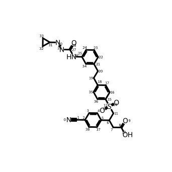 N#Cc1ccc(C(CC(=O)O)CS(=O)(=O)c2ccc(CCc3cccc(NC(=O)N=NC4CC4)c3)cc2)cc1